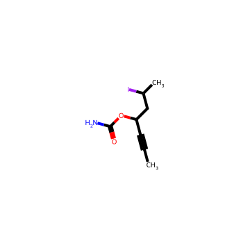 CC#CC(CC(C)I)OC(N)=O